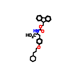 O=C(NC(Cc1ccc(OCCCC2CCCCC2)cc1)C(=O)O)OCC1c2ccccc2-c2ccccc21